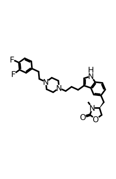 CN1C(=O)OC[C@@H]1Cc1ccc2[nH]cc(CCCN3CCN(CCc4ccc(F)c(F)c4)CC3)c2c1